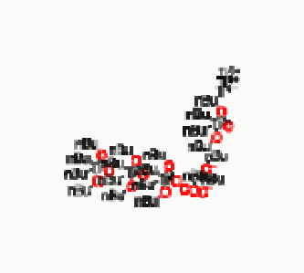 CCCC[O-].CCCC[O-].CCCC[O-].CCCC[O-].CCCC[O][Ti-2](=[O])([CH2]CCC)([CH2]CCC)[O]CCCC.CCCC[O][Ti-2](=[O])([CH2]CCC)([CH2]CCC)[O]CCCC.CCCC[O][Ti-2](=[O])([CH2]CCC)([CH2]CCC)[O]CCCC.CCCC[O][Ti-2](=[O])([CH2]CCC)([CH2]CCC)[O]CCCC.[Ti+4].[Ti+4].[Ti+4]